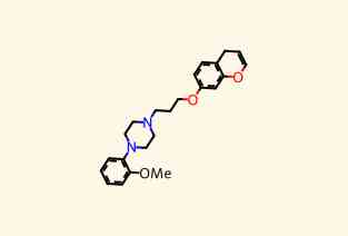 COc1ccccc1N1CCN(CCCOc2ccc3c(c2)OC=CC3)CC1